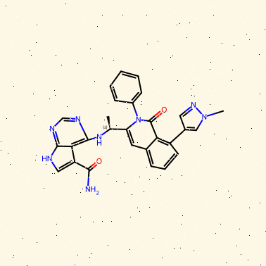 C[C@H](Nc1ncnc2[nH]cc(C(N)=O)c12)c1cc2cccc(-c3cnn(C)c3)c2c(=O)n1-c1ccccc1